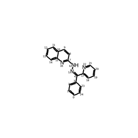 c1ccc(C(=NNc2ccc3ccccc3n2)c2ccccn2)cc1